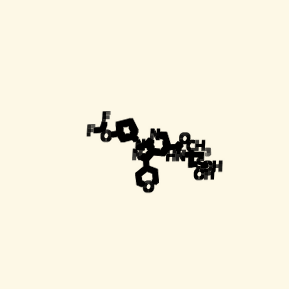 CC1(NC(=O)c2cnc3c(c2)c(C2CCOCC2)nn3-c2cccc(OC(F)F)c2)CS(O)(O)C1